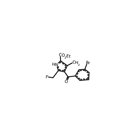 CCOC(=O)c1[nH]c(CF)c(C(=O)c2cccc(Br)c2)c1C